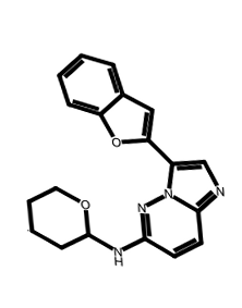 [CH]1CCOC(Nc2ccc3ncc(-c4cc5ccccc5o4)n3n2)C1